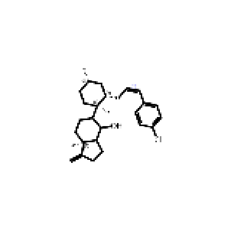 C=C1CCC2C(O)C([C@@]3(C)CC[C@H](C)C[C@@H]3C/C=C\c3ccc(Cl)cc3)CC[C@]12C